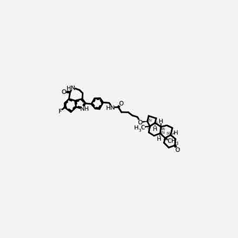 C[C@]12CCC(=O)C[C@@H]1CC[C@@H]1[C@@H]2CC[C@]2(C)[C@@H](OCCCCC(=O)NCc3ccc(-c4[nH]c5cc(F)cc6c5c4CCNC6=O)cc3)CC[C@@H]12